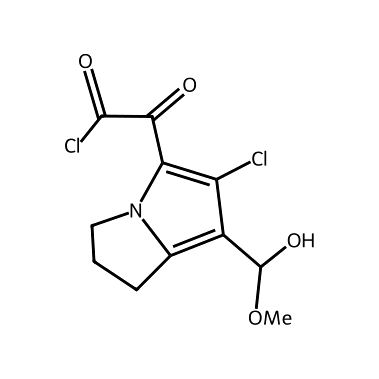 COC(O)c1c(Cl)c(C(=O)C(=O)Cl)n2c1CCC2